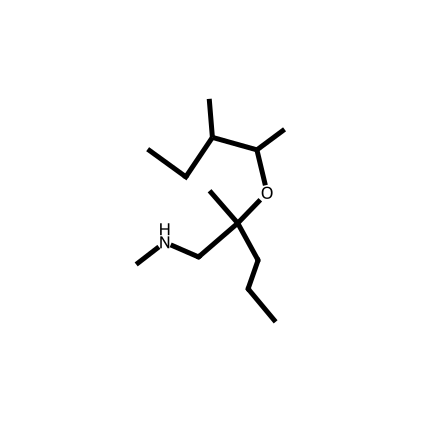 CCCC(C)(CNC)OC(C)C(C)CC